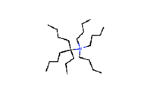 CCCCC(CCC)(CCCC)[N+](CCCC)(CCCC)CCCC